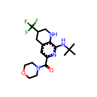 CC(C)(C)Nc1nc(C(=O)N2CCOCC2)cc2c1NCC(C(F)(F)F)C2